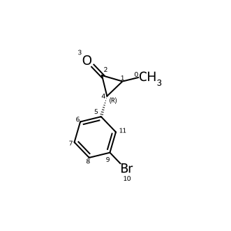 CC1C(=O)[C@H]1c1cccc(Br)c1